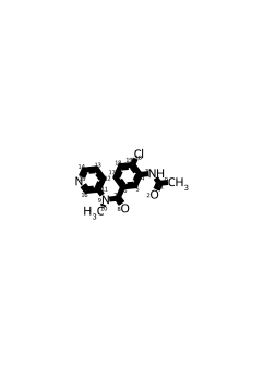 CC(=O)Nc1cc(C(=O)N(C)c2cccnc2)ccc1Cl